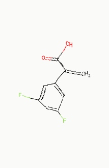 C=C(C(=O)O)c1cc(F)cc(F)c1